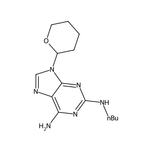 CCCCNc1nc(N)c2ncn(C3CCCCO3)c2n1